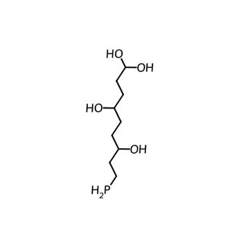 OC(O)CCC(O)CCC(O)CCP